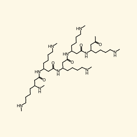 CNCCCCC(CC(=O)NC(CCCCNC)CC(=O)NC(CCCCNC)CC(=O)NC(CCCCNC)CC(=O)NC(CCCCNC)CC(C)=O)NC